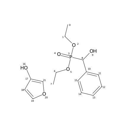 CCOP(=O)(OCC)C(O)c1ccccc1.Oc1ccoc1